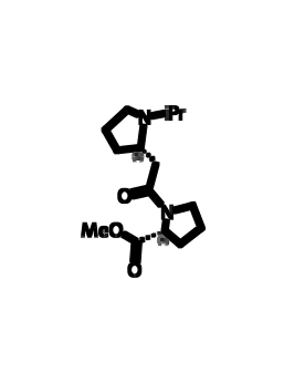 COC(=O)[C@H]1CCCN1C(=O)C[C@@H]1CCCN1C(C)C